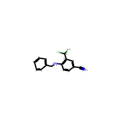 N#Cc1ccc(NCc2ccccc2)c(C(F)F)c1